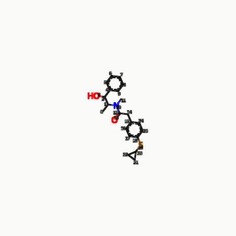 CC(C(O)c1ccccc1)N(C)C(=O)Cc1ccc(SC2CC2)cc1